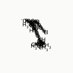 Cc1sc2c(c1C)C(c1ccc(Cl)cc1)=N[C@@H](CC(=O)NCCCCOCCOCCNC(=O)C1(F)C[N+](=C3C=CC4=C(c5cc(C(=O)NCCOCCOCCCCCCCl)ccc5C(=O)[O-])c5ccc(N6CC(F)C6)cc5[Si](C)(C)C4=C3)C1)c1nnc(C)n1-2